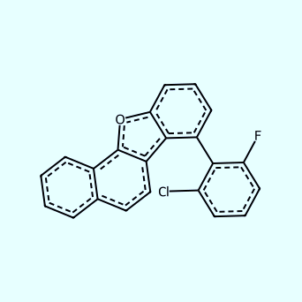 Fc1cccc(Cl)c1-c1cccc2oc3c4ccccc4ccc3c12